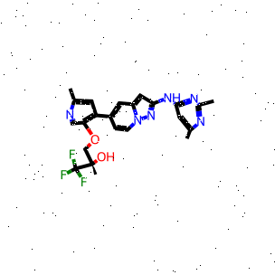 Cc1cc(-c2ccn3nc(Nc4cc(C)nc(C)n4)cc3c2)c(OC[C@](C)(O)C(F)(F)F)cn1